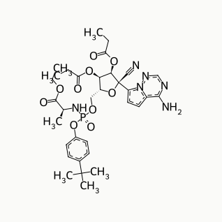 CCOC(=O)[C@H](C)NP(=O)(OC[C@H]1O[C@@](C#N)(c2ccc3c(N)ncnn23)[C@H](OC(=O)CC)[C@@H]1OC(=O)CC)Oc1ccc(C(C)(C)C)cc1